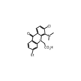 CCc1ccc2c(=O)c3ccc(Cl)c(N(C)C)c3n(CC(=O)O)c2c1